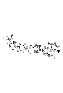 CC[C@](C)(O)c1noc(N2CCC([C@H](C)Oc3cnc(N4C[C@H](c5cc(F)ccc5F)[C@@H](N)C4)nc3)CC2)n1